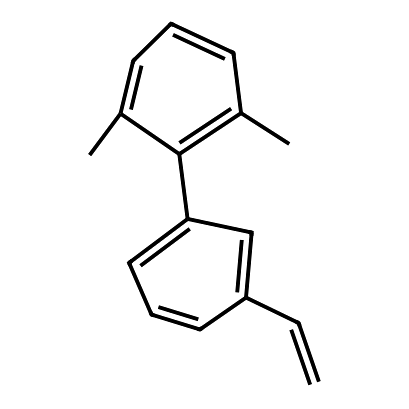 C=Cc1cccc(-c2c(C)cccc2C)c1